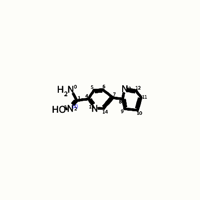 N/C(=N\O)c1ccc(-c2ccccn2)cn1